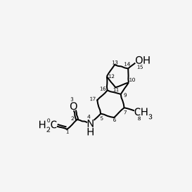 C=CC(=O)NC1CC(C)C2C3CC(CC3O)C2C1